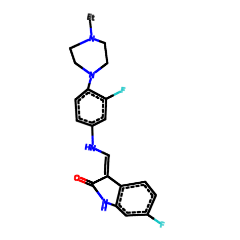 CCN1CCN(c2ccc(NC=C3C(=O)Nc4cc(F)ccc43)cc2F)CC1